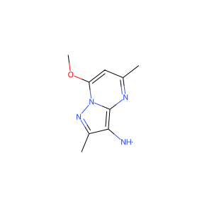 COc1cc(C)nc2c([NH])c(C)nn12